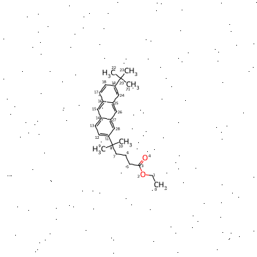 CCOC(=O)CCCC(C)(C)c1ccc2cc3ccc(C(C)(C)C)cc3cc2c1